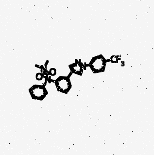 CN(C)S(=O)(=O)N(c1ccccc1)c1cccc(-c2cnn(-c3ccc(C(F)(F)F)cc3)c2)c1